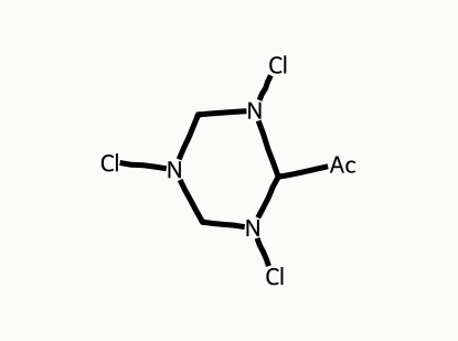 CC(=O)C1N(Cl)CN(Cl)CN1Cl